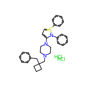 C1=C(N2CCN(CC3(Cc4ccccc4)CCC3)CC2)N(c2ccccc2)S(c2ccccc2)=C1.Cl.Cl